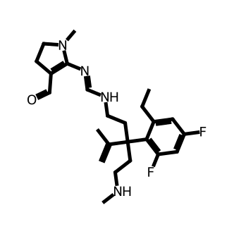 C=C(C)C(CCNC)(CCN/C=N/C1=C(C=O)CCN1C)c1c(F)cc(F)cc1CC